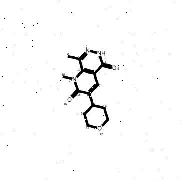 Cc1n[nH]c(=O)c2cc(C3CCOCC3)c(=O)n(C)c12